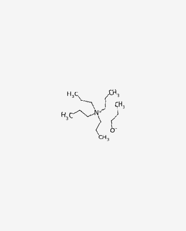 CCC[N+](CCC)(CCC)CCC.CCC[O-]